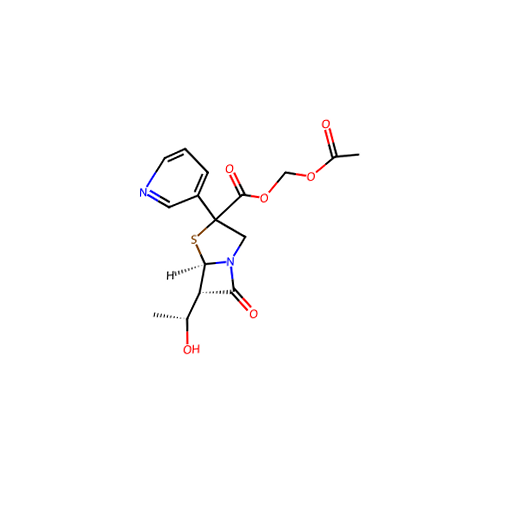 CC(=O)OCOC(=O)C1(c2cccnc2)CN2C(=O)[C@H]([C@@H](C)O)[C@H]2S1